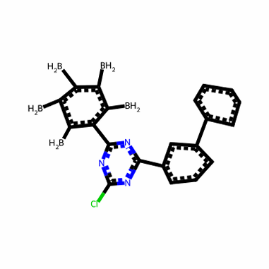 Bc1c(B)c(B)c(-c2nc(Cl)nc(-c3cccc(-c4ccccc4)c3)n2)c(B)c1B